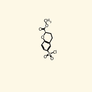 COC(=O)[C@H]1CCc2cc(S(=O)(=O)Cl)ccc2O1